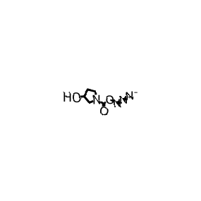 [N-]=[N+]=NOC(=O)N1CCC(O)C1